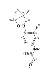 CC1(C)OB(c2ccc(NC(=O)N=O)cc2F)OC1(C)C